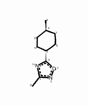 Cc1noc([C@H]2CC[C@H](C)CC2)n1